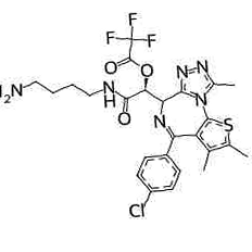 Cc1sc2c(c1C)C(c1ccc(Cl)cc1)=NC([C@H](OC(=O)C(F)(F)F)C(=O)NCCCCN)c1nnc(C)n1-2